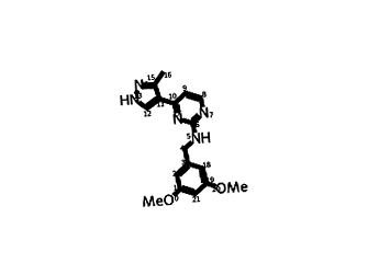 COc1cc(CNc2nccc(-c3c[nH]nc3C)n2)cc(OC)c1